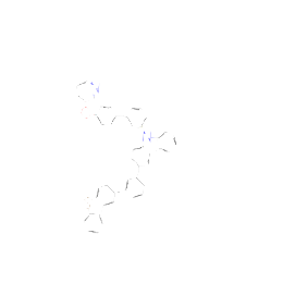 c1cc(-c2ccc3sc4ccccc4c3c2)cc(-c2ccc3c(c2)c2ccccc2n3-c2cccc(-c3ccc4oc5cccnc5c4c3)c2)c1